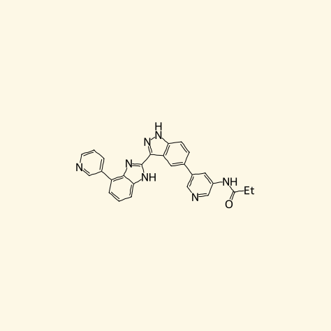 CCC(=O)Nc1cncc(-c2ccc3[nH]nc(-c4nc5c(-c6cccnc6)cccc5[nH]4)c3c2)c1